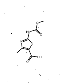 COC(=O)Nc1nc(C)c(C(=O)O)s1